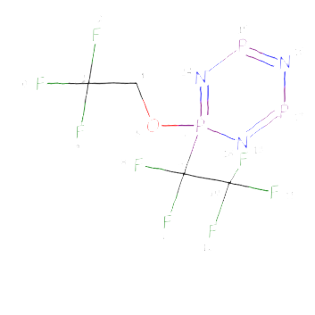 FC(F)(F)COP1(C(F)(F)C(F)(F)F)=NP=NP=N1